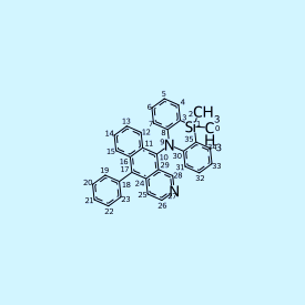 C[Si]1(C)c2ccccc2N(c2c3ccccc3c(-c3ccccc3)c3ccncc23)c2ccccc21